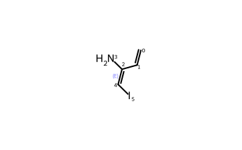 C=C/C(N)=C\I